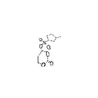 CC1CCC(S(=O)(=O)OC2CCOC(=O)O2)C1